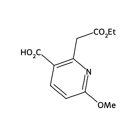 CCOC(=O)Cc1nc(OC)ccc1C(=O)O